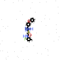 Cc1ccc(F)c(NC(=O)CSc2nnc(-c3ccc(Oc4ccccc4)cc3)[nH]2)c1